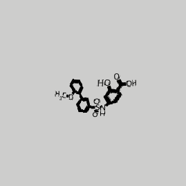 COc1ccccc1-c1cccc(S(=O)(=O)Nc2ccc(C(=O)O)c(O)c2)c1